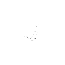 CCCCOC(=O)OC[C@H]1O[C@@H](n2cc(C=CBr)c(=O)[nH]c2=O)C[C@@H]1O